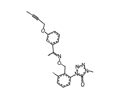 CC#CCOc1cccc(C(C)=NOCc2c(C)cccc2-n2nnn(C)c2=O)c1